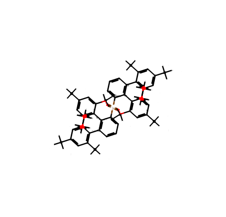 CC(C)(C)c1cc(C(C)(C)C)c(-c2[c]ccc(S(=O)(=O)c3cc[c]c(-c4c(C(C)(C)C)cc(C(C)(C)C)cc4C(C)(C)C)c3-c3c(C(C)(C)C)cc(C(C)(C)C)cc3C(C)(C)C)c2-c2c(C(C)(C)C)cc(C(C)(C)C)cc2C(C)(C)C)c(C(C)(C)C)c1